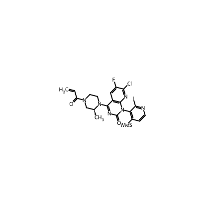 C=CC(=O)N1CCN(c2nc(=O)n(-c3c(SC)ccnc3I)c3nc(Cl)c(F)cc23)[C@@H](C)C1